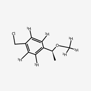 [2H]c1c([2H])c([C@H](C)OC([2H])([2H])[2H])c([2H])c([2H])c1CCl